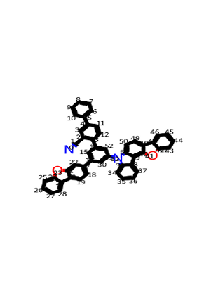 N#Cc1cc(-c2ccccc2)ccc1-c1cc(-c2ccc3c(c2)oc2ccccc23)cc(-n2c3ccccc3c3c4oc5ccccc5c4ccc32)c1